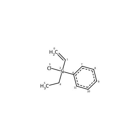 C=C[Si](Cl)(CC)c1ccccc1